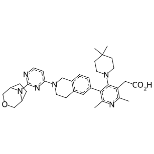 Cc1nc(C)c(-c2ccc3c(c2)CCN(c2ccnc(N4C5CCC4COC5)n2)C3)c(N2CCC(C)(C)CC2)c1CC(=O)O